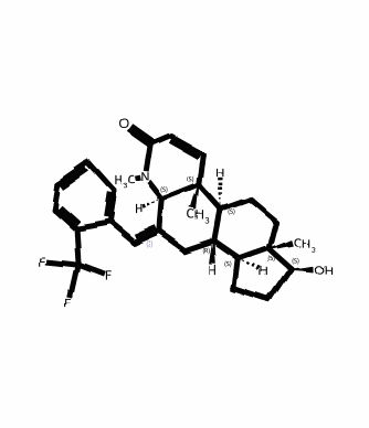 CN1C(=O)C=C[C@]2(C)[C@H]3CC[C@]4(C)[C@@H](O)CC[C@H]4[C@@H]3C/C(=C/c3ccccc3C(F)(F)F)[C@@H]12